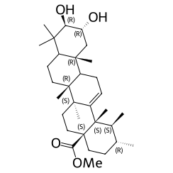 COC(=O)[C@]12CC[C@@H](C)[C@H](C)[C@@]1(C)C1=CCC3[C@@]4(C)C[C@@H](O)[C@H](O)C(C)(C)C4CC[C@@]3(C)[C@]1(C)CC2